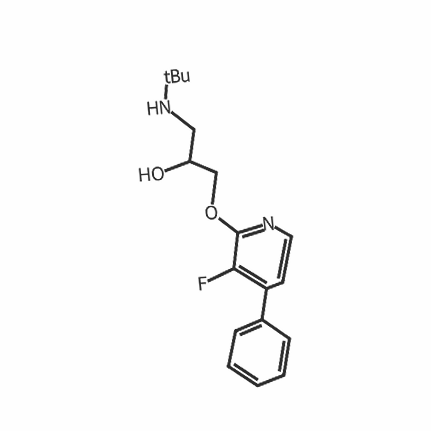 CC(C)(C)NCC(O)COc1nccc(-c2ccccc2)c1F